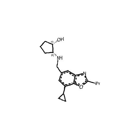 CC(C)c1nc2cc(CN[C@@H]3CCC[C@@H]3O)cc(C3CC3)c2o1